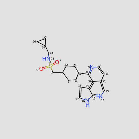 O=S(=O)(CC1CCC(c2nccc3cnc4[nH]ccc4c23)CC1)NCC1CC1